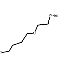 CCCCCCCOCCCCCl